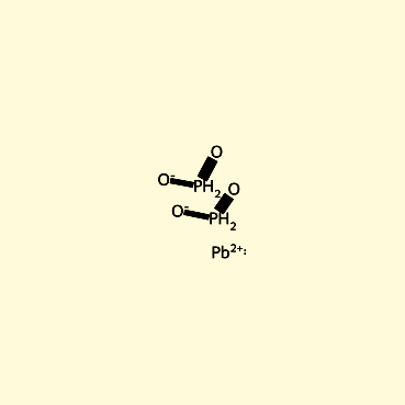 O=[PH2][O-].O=[PH2][O-].[Pb+2]